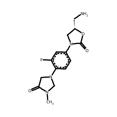 CN1CN(c2ccc(N3C[C@H](CN)OC3=O)cc2F)CC1=O